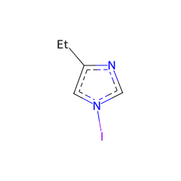 CCc1cn(I)cn1